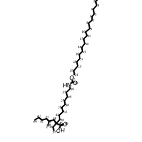 CCCCCCCCCCCCCCCCCCCCCCOC(=O)NCCCCCCCCCC(CC)(CC(F)CCCC)C(=O)O